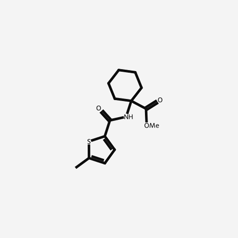 COC(=O)C1(NC(=O)c2ccc(C)s2)CCCCC1